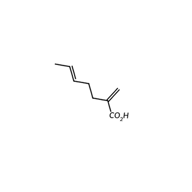 C=C(CCC=CC)C(=O)O